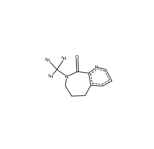 [2H]C([2H])([2H])N1CCCc2cccnc2C1=O